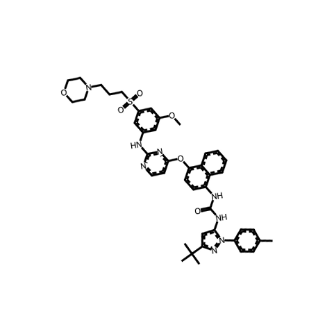 COc1cc(Nc2nccc(Oc3ccc(NC(=O)Nc4cc(C(C)(C)C)nn4-c4ccc(C)cc4)c4ccccc34)n2)cc(S(=O)(=O)CCCN2CCOCC2)c1